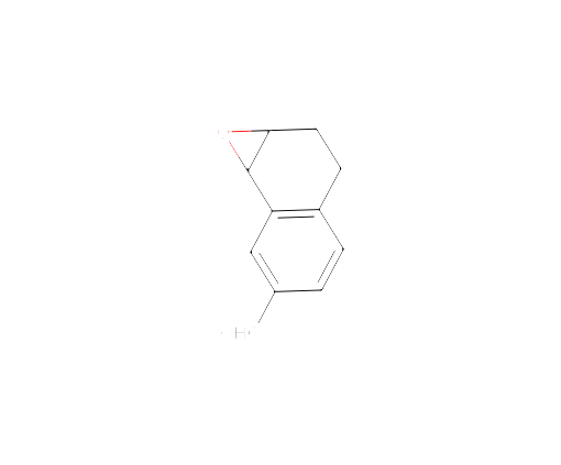 O=Cc1ccc2c(c1)C1OC1CC2